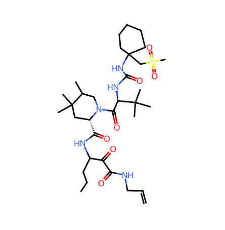 C=CCNC(=O)C(=O)C(CCC)NC(=O)[C@@H]1CC(C)(C)C(C)CN1C(=O)[C@@H](NC(=O)NC1(CS(C)(=O)=O)CCCCC1)C(C)(C)C